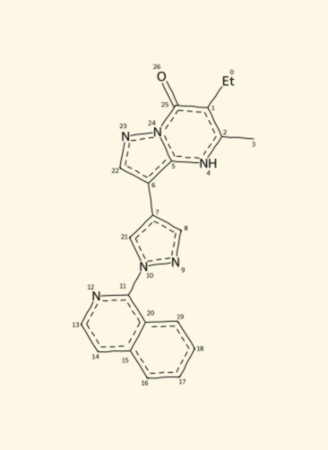 CCc1c(C)[nH]c2c(-c3cnn(-c4nccc5ccccc45)c3)cnn2c1=O